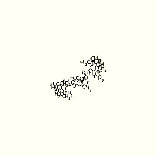 Cc1c(CCC(=O)OC2CC(C)N(CCOC(=O)CCc3cc(C(C)(C)C)c(O)c(C(C)(C)C)c3)C(C)(C)C2)cc(C(C)(C)C)c(O)c1C(C)(C)C